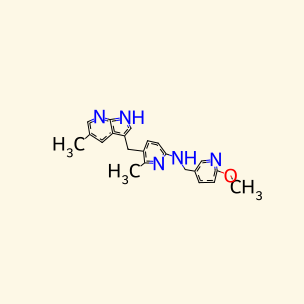 COc1ccc(CNc2ccc(Cc3c[nH]c4ncc(C)cc34)c(C)n2)cn1